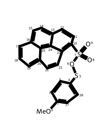 COc1ccc(SOS(=O)(=O)c2ccc3ccc4cccc5ccc2c3c45)cc1